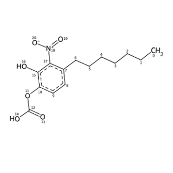 CCCCCCCc1ccc(OC(=O)O)c(O)c1[N+](=O)[O-]